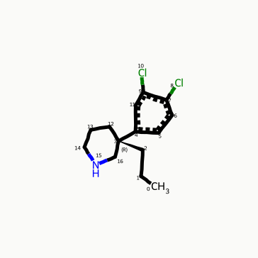 CCC[C@]1(c2ccc(Cl)c(Cl)c2)CCCNC1